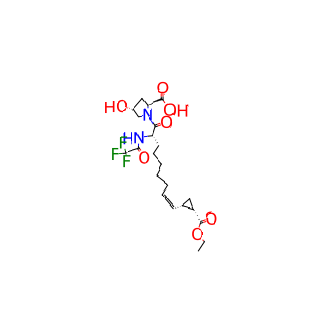 CCOC(=O)[C@H]1C[C@H]1/C=C\CCCCC[C@H](NC(=O)C(F)(F)F)C(=O)N1C[C@H](O)C[C@H]1C(=O)O